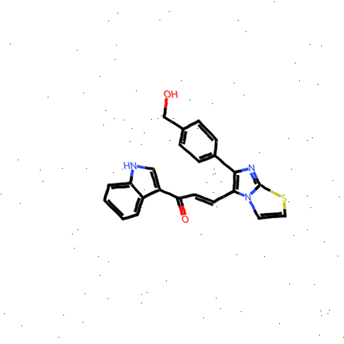 O=C(/C=C/c1c(-c2ccc(CO)cc2)nc2sccn12)c1c[nH]c2ccccc12